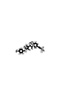 Cc1c(C(=O)C(C)n2nc(C#C[Si](C)(C)C)ccc2=O)cnn1Cc1ccc(F)cc1